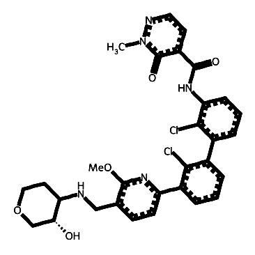 COc1nc(-c2cccc(-c3cccc(NC(=O)c4ccnn(C)c4=O)c3Cl)c2Cl)ccc1CNC1CCOC[C@H]1O